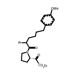 CCOC(=O)C(=O)[C@@H]1CCCN1C(=O)C(CCCCc1ccc(OC)cc1)C(C)C